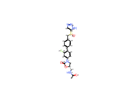 CC(=O)NC[C@H]1CN(c2ccc(-c3ccc(C[S@+]([O-])c4cnn[nH]4)cc3)c(F)c2)C(=O)O1